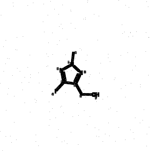 Cn1nc(I)c(CO)n1